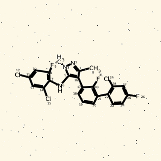 Cc1nn(C)c(Nc2c(F)cc(Cl)cc2Cl)c1-c1cccc(-c2ccc(F)cc2Cl)c1F